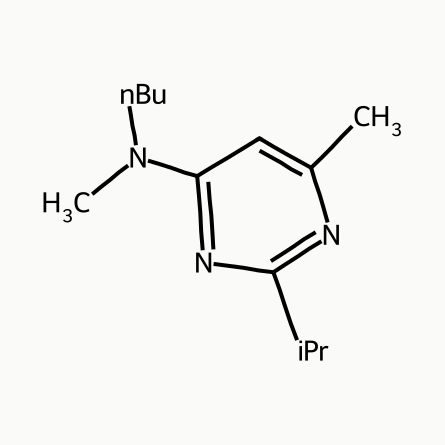 CCCCN(C)c1cc(C)nc(C(C)C)n1